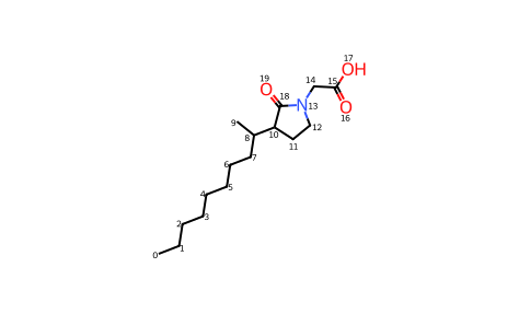 CCCCCCCCC(C)C1CCN(CC(=O)O)C1=O